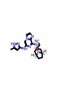 Cc1cc(Nc2cn3ccnc3c(N[C@@H]3C[C@H]4CC[C@@H](C3)N4CCC#N)n2)n[nH]1